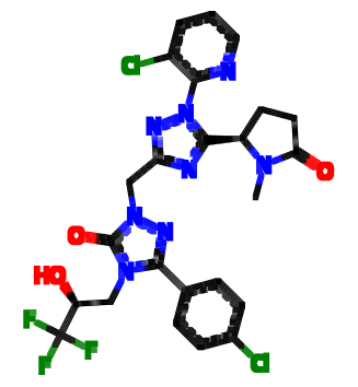 CN1C(=O)CC[C@@H]1c1nc(Cn2nc(-c3ccc(Cl)cc3)n(C[C@H](O)C(F)(F)F)c2=O)nn1-c1ncccc1Cl